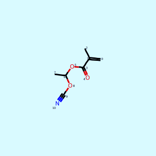 C=C(C)C(=O)OC(C)OC#N